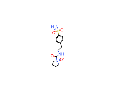 NS(=O)(=O)c1ccc(CCNC(=O)[N+]2([O-])CCCC2)cc1